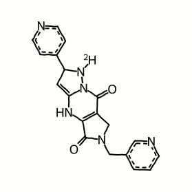 [2H]N1C(c2ccncc2)C=C2NC3=C(CN(Cc4cccnc4)C3=O)C(=O)N21